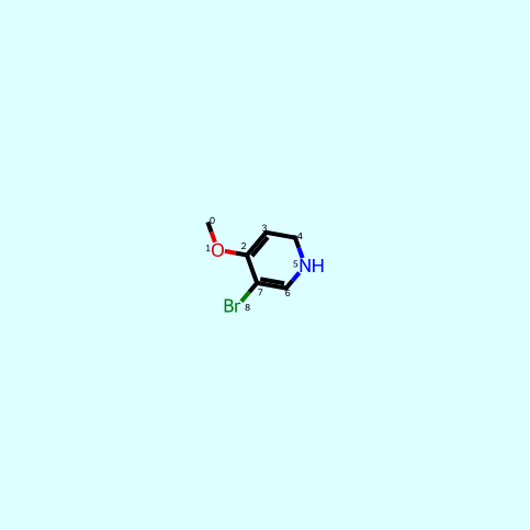 COC1=CCNC=C1Br